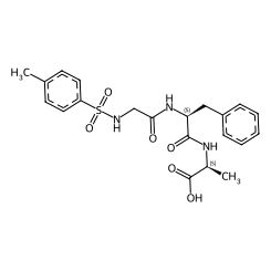 Cc1ccc(S(=O)(=O)NCC(=O)N[C@@H](Cc2ccccc2)C(=O)N[C@@H](C)C(=O)O)cc1